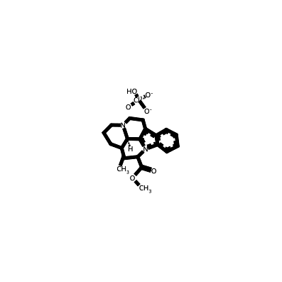 CC[C@@]12CCCN3CCc4c(n(c5ccccc45)C(C(=O)OC)C1)[C@H]32.[O-][Cl+3]([O-])([O-])O